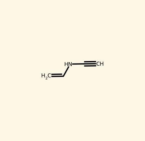 C#CNC=C